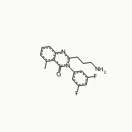 Cc1cccc2nc(CCCN)n(-c3cc(F)cc(F)c3)c(=O)c12